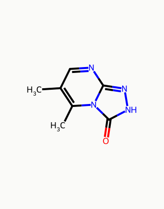 Cc1cnc2n[nH]c(=O)n2c1C